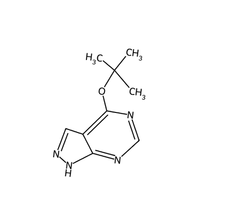 CC(C)(C)Oc1ncnc2[nH]ncc12